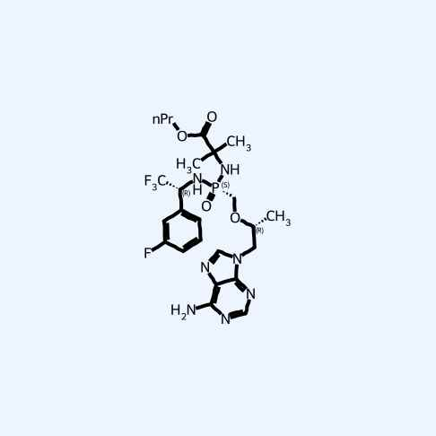 CCCOC(=O)C(C)(C)N[P@](=O)(CO[C@H](C)Cn1cnc2c(N)ncnc21)N[C@H](c1cccc(F)c1)C(F)(F)F